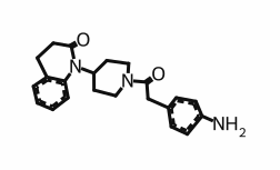 Nc1ccc(CC(=O)N2CCC(N3C(=O)CCc4ccccc43)CC2)cc1